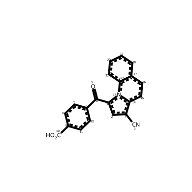 N#Cc1cc(C(=O)c2ccc(C(=O)O)cc2)n2c1ccc1ccccc12